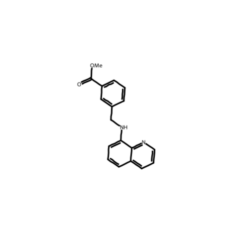 COC(=O)c1cccc(CNc2cccc3cccnc23)c1